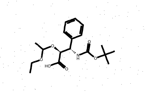 CCOC(C)O[C@H](C(=O)O)[C@@H](NC(=O)OC(C)(C)C)c1ccccc1